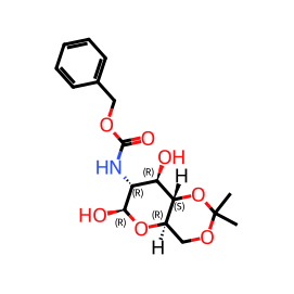 CC1(C)OC[C@H]2O[C@@H](O)[C@H](NC(=O)OCc3ccccc3)[C@@H](O)[C@@H]2O1